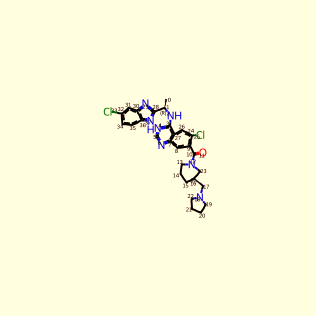 C[C@@H](Nc1ncnc2cc(C(=O)N3CCC[C@H](CN4CCCC4)C3)c(Cl)cc12)c1nc2cc(Cl)ccc2[nH]1